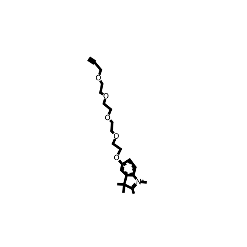 C#CCOCCOCCOCCOCCOc1ccc2c(c1)C(C)(C)C(C)=[N+]2C